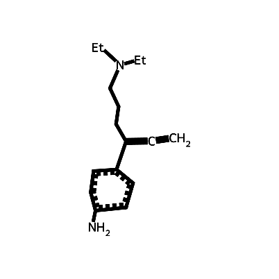 C=C=C(CCCN(CC)CC)c1ccc(N)cc1